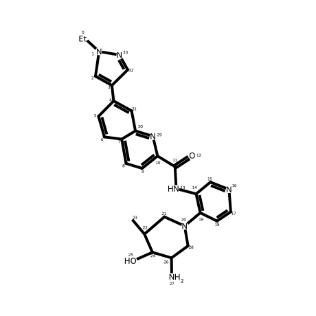 CCn1cc(-c2ccc3ccc(C(=O)Nc4cnccc4N4CC(C)C(O)C(N)C4)nc3c2)cn1